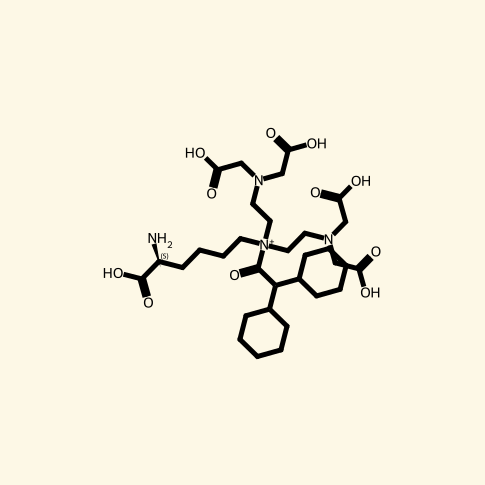 N[C@@H](CCCC[N+](CCN(CC(=O)O)CC(=O)O)(CCN(CC(=O)O)CC(=O)O)C(=O)C(C1CCCCC1)C1CCCCC1)C(=O)O